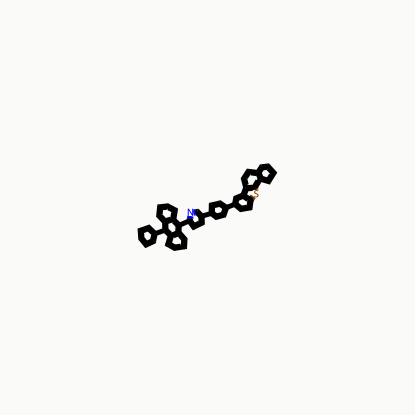 c1ccc(-c2c3ccccc3c(-c3ccc(-c4ccc(-c5ccc6sc7c8ccccc8ccc7c6c5)cc4)cn3)c3ccccc23)cc1